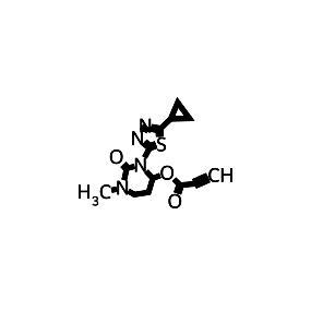 C#CC(=O)OC1CCN(C)C(=O)N1c1nnc(C2CC2)s1